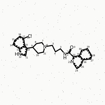 O=C(NCCCN1CCC(c2c[nH]c3cccc(Cl)c23)CC1)c1nccc2ccccc12